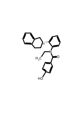 CCN(C(=O)c1ccc(O)cc1)c1ccccc1[C@@H]1CCc2c[c]ccc2C1